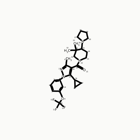 Cc1nn(-c2cccc(OC(F)(F)F)c2)c(C2CC2)c1C(=O)N1CCC(N2CCCC2)C(C)(C)C1